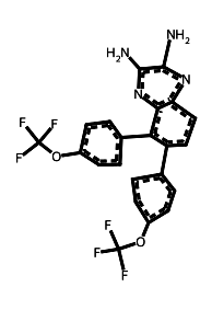 Nc1nc2ccc(-c3ccc(OC(F)(F)F)cc3)c(-c3ccc(OC(F)(F)F)cc3)c2nc1N